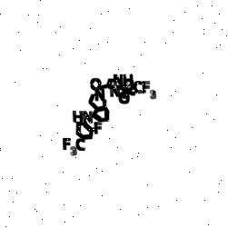 O=C(c1c[nH]c(S(=O)(=O)CC(F)(F)F)n1)N1CCc2c(cccc2Nc2ccc(C(F)(F)F)cc2F)C1